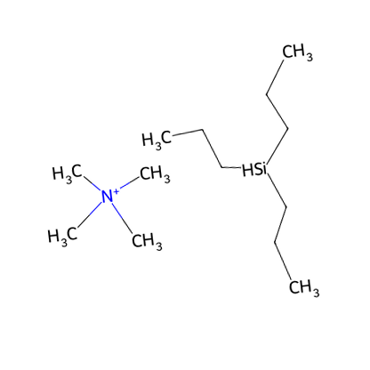 CCC[SiH](CCC)CCC.C[N+](C)(C)C